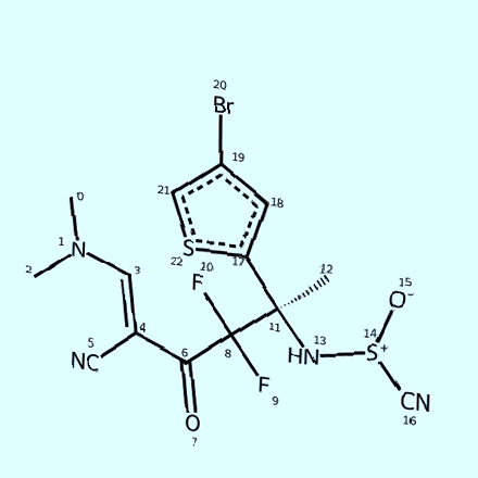 CN(C)C=C(C#N)C(=O)C(F)(F)[C@](C)(N[S+]([O-])C#N)c1cc(Br)cs1